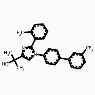 CC(C)(O)c1cn(-c2ccc(-c3cccc(C(F)(F)F)c3)cc2)c(-c2ccccc2C(F)(F)F)n1